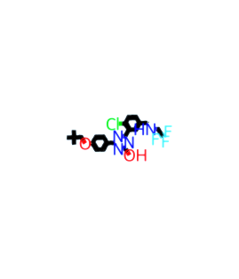 CC(C)(C)COc1ccc(-c2nc(O)nc(-c3cc(CNCC(F)(F)F)ccc3Cl)n2)cc1